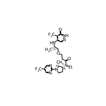 CCN(C(=O)CCOC[C@H](C)Nc1cn[nH]c(=O)c1C(F)(F)F)[C@@H]1CCN(c2ncc(C(F)(F)F)cn2)[C@@H]1C